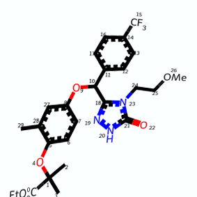 CCOC(=O)C(C)(C)Oc1ccc(OC(c2ccc(C(F)(F)F)cc2)c2n[nH]c(=O)n2CCOC)cc1C